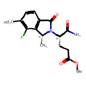 C[C@@H]1c2c(ccc(C(=O)O)c2F)C(=O)N1[C@@H](CCC(=O)OC(C)(C)C)C(N)=O